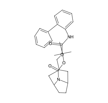 CC(C)(C)OC(=O)N1C2CCC1CC(COC(=O)Nc1ccccc1-c1ccccc1)C2